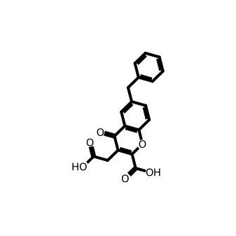 O=C(O)Cc1c(C(=O)O)oc2ccc(Cc3ccccc3)cc2c1=O